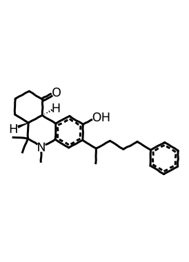 CC(CCCc1ccccc1)c1cc2c(cc1O)[C@@H]1C(=O)CCC[C@H]1C(C)(C)N2C